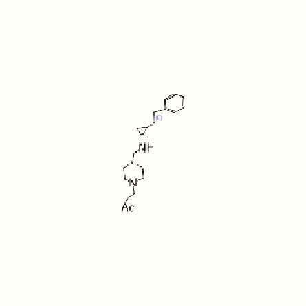 CC(=O)CCN1CCC(CNC2CC2/C=C/c2ccccc2)CC1